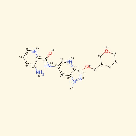 Cn1nc(OCC2CCCOC2)c2ncc(NC(=O)c3ncccc3N)cc21